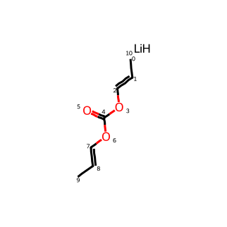 CC=COC(=O)OC=CC.[LiH]